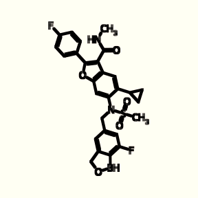 CNC(=O)c1c(-c2ccc(F)cc2)oc2cc(N(Cc3cc(F)c4c(c3)COB4)S(C)(=O)=O)c(C3CC3)cc12